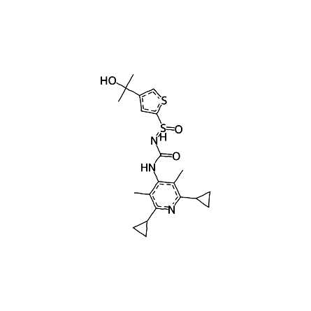 Cc1c(C2CC2)nc(C2CC2)c(C)c1NC(=O)/N=[SH](=O)/c1cc(C(C)(C)O)cs1